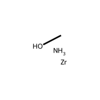 CO.N.[Zr]